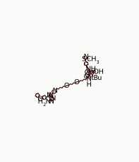 Cc1ncsc1-c1ccc(CNC(=O)[C@@H]2C[C@@H](O)CN2C(=O)C(NC(=O)CCCCCOCCCCCOCCCCCCN2CCC(n3nc(-c4ccc(Oc5ccccc5)cc4)c4c(N)ncnc43)CC2)C(C)(C)C)cc1